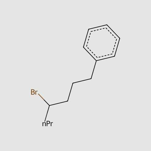 CCCC(Br)CCCc1ccccc1